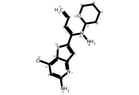 C=C/C=C(/c1cc2nc(N)cc(Cl)c2s1)N(N)C1CCCCO1